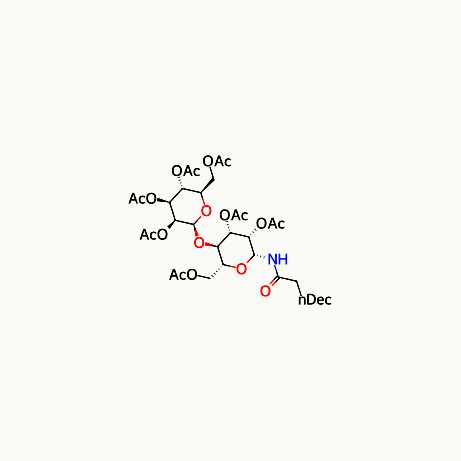 CCCCCCCCCCCC(=O)N[C@@H]1O[C@H](COC(C)=O)[C@@H](O[C@@H]2O[C@H](COC(C)=O)[C@@H](OC(C)=O)[C@H](OC(C)=O)[C@@H]2OC(C)=O)[C@H](OC(C)=O)[C@@H]1OC(C)=O